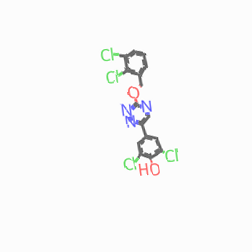 Oc1c(Cl)cc(-c2cnc(OCc3cccc(Cl)c3Cl)nn2)cc1Cl